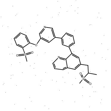 CC(Cc1cc(-c2cccc(-c3cncc(Oc4ccccc4S(C)(=O)=O)c3)c2)c2ncccc2c1)S(C)(=O)=O